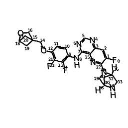 Fc1cc2ncnc(Nc3ccc(OCC45COC(C4)C5)c(F)c3F)c2nc1N1C[C@@H]2C[C@H]1CN2